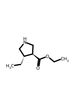 CCOC(=O)[C@@H]1CNC[C@H]1CC